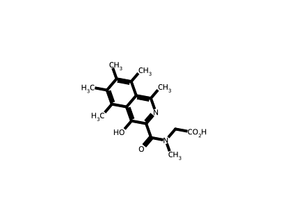 Cc1c(C)c(C)c2c(O)c(C(=O)N(C)CC(=O)O)nc(C)c2c1C